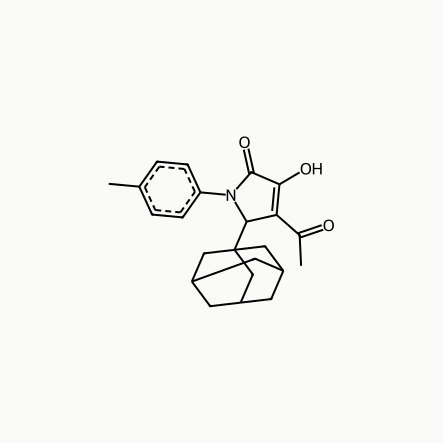 CC(=O)C1=C(O)C(=O)N(c2ccc(C)cc2)C1C12CC3CC(CC(C3)C1)C2